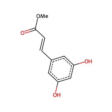 COC(=O)C=Cc1cc(O)cc(O)c1